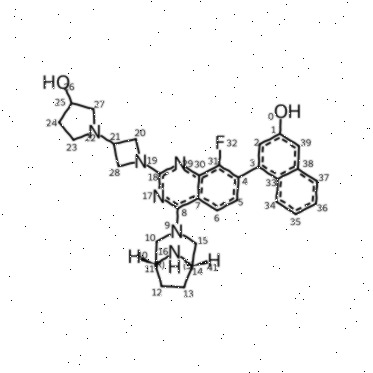 Oc1cc(-c2ccc3c(N4C[C@H]5CC[C@@H](C4)N5)nc(N4CC(N5CCC(O)C5)C4)nc3c2F)c2ccccc2c1